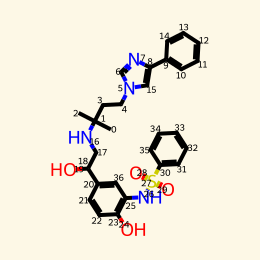 CC(C)(CCn1cnc(-c2ccccc2)c1)NCC(O)c1ccc(O)c(NS(=O)(=O)c2ccccc2)c1